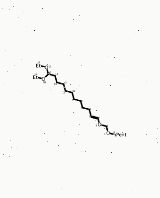 CCCCCOCOC=CCCCCCCCCCC(OCC)OCC